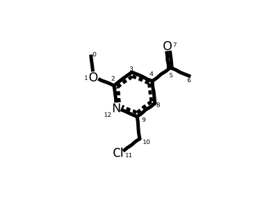 COc1cc(C(C)=O)cc(CCl)n1